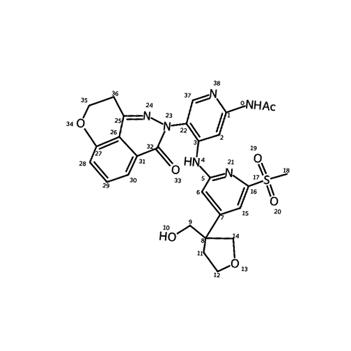 CC(=O)Nc1cc(Nc2cc(C3(CO)CCOC3)cc(S(C)(=O)=O)n2)c(-n2nc3c4c(cccc4c2=O)OCC3)cn1